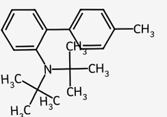 Cc1ccc(-c2ccccc2N(C(C)(C)C)C(C)(C)C)cc1